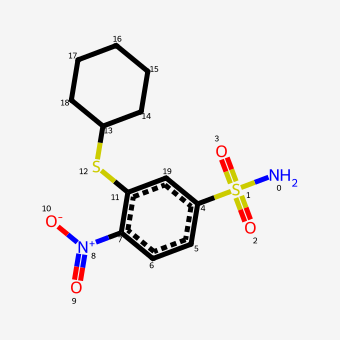 NS(=O)(=O)c1ccc([N+](=O)[O-])c(SC2CCCCC2)c1